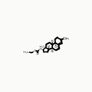 CCOC(=O)O[C@H]1CC[C@H]2[C@@H]3CCC4=CC(O)CC[C@]4(C)[C@H]3CC[C@]12C